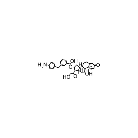 C[C@H]1C[C@@H]2[C@H]([C@@H](O)C[C@@]3(C)[C@H]2C[C@@H](O[C@H](O)c2cccc(Cc4ccc(N)cc4)c2)[C@@H]3C(=O)CO)[C@@]2(C)C=CC(=O)C=C12